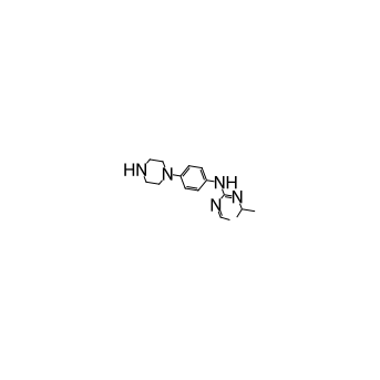 C/C=N\C(=N/C(C)C)Nc1ccc(N2CCNCC2)cc1